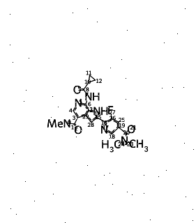 CNC(=O)c1cnc(NC(=O)C2CC2)c2[nH]c(-c3ncc(C(=O)N(C)C)cc3F)cc12